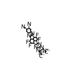 [C-]#[N+]c1nc2nc3c(nc2nc1[N+]#[C-])-c1c(F)c(F)c2c4c(c(F)c(F)c-3c14)-c1nc3cc(C#N)c(C#N)cc3nc1-2